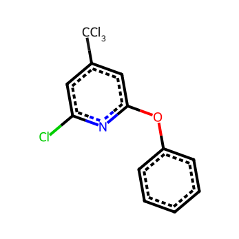 Clc1cc(C(Cl)(Cl)Cl)cc(Oc2ccccc2)n1